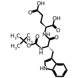 CC(C)(C)OC(=O)N[C@@H](Cc1c[nH]c2ccccc12)C(=O)N[C@@H](CCC(=O)O)C(=O)O